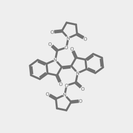 O=C1/C(=C2/C(=O)c3ccccc3N2C(=O)ON2C(=O)CCC2=O)N(C(=O)ON2C(=O)CCC2=O)c2ccccc21